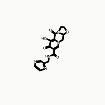 O=C(NCc1cnccn1)c1cn2c(c(O)c1=O)C(=O)N1CCOC1C2